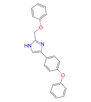 c1ccc(OCc2nc(-c3ccc(Oc4ccccc4)cc3)c[nH]2)cc1